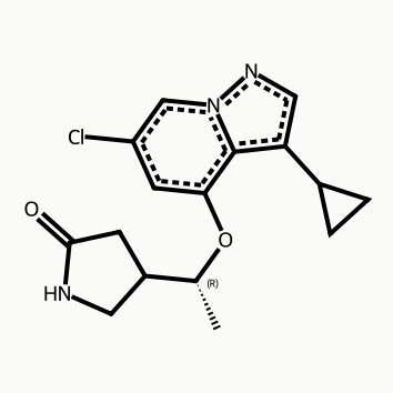 C[C@@H](Oc1cc(Cl)cn2ncc(C3CC3)c12)C1CNC(=O)C1